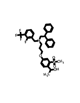 CC(O)c1ccc(OCCCN(Cc2cccc(C(F)(F)F)c2F)CC(c2ccccc2)c2ccccc2)cc1S(C)(=O)=O